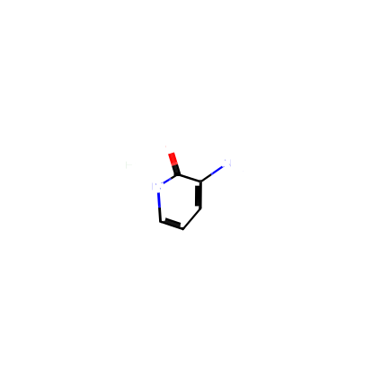 Cl.Nc1ccc[nH]c1=O